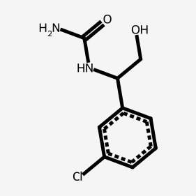 NC(=O)NC(CO)c1cccc(Cl)c1